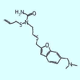 C=CCSN(CCSCc1cc2ccc(CN(C)C)cc2o1)C(N)=O